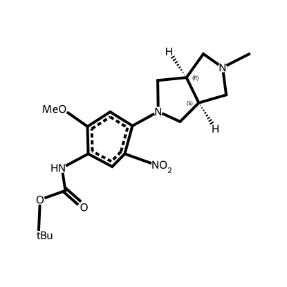 COc1cc(N2C[C@H]3CN(C)C[C@H]3C2)c([N+](=O)[O-])cc1NC(=O)OC(C)(C)C